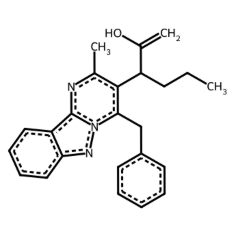 C=C(O)C(CCC)c1c(C)nc2c3ccccc3nn2c1Cc1ccccc1